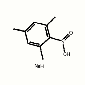 Cc1cc(C)c(S(=O)O)c(C)c1.[NaH]